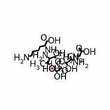 CC(=O)C(O)O.CC(C)C(N)C(=O)O.CC(N)C(=O)O.NCC(=O)O.NCCCCC(N)C(=O)O